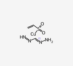 C=C[S](=O)(=O)[Cu].N=N/C=N/N